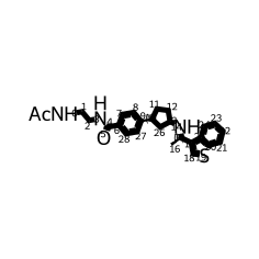 CC(=O)NCCNC(=O)c1ccc([C@H]2CCC(N[C@H](C)c3csc4ccccc34)C2)cc1